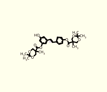 CC1(C)OCC(C)(C(=O)Oc2ccc(/C=C/c3cc(O)cc(OC(=O)C4(C)COC(C)(C)OC4)c3)cc2)CO1